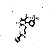 CC1=C(C(=O)O)C(c2cccc([N+](=O)[O-])c2)N(CCCN(C)C(=O)c2ccco2)C(=O)N1